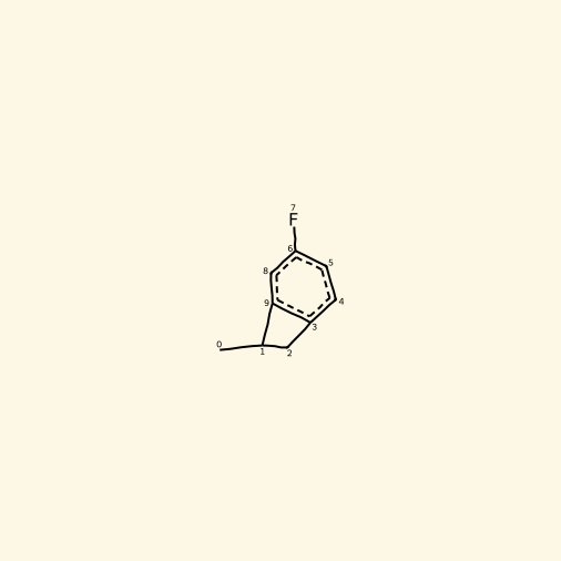 CC1Cc2ccc(F)cc21